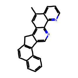 Cc1cc2c3c(cnc2c2ncccc12)-c1c(ccc2ccccc12)C3